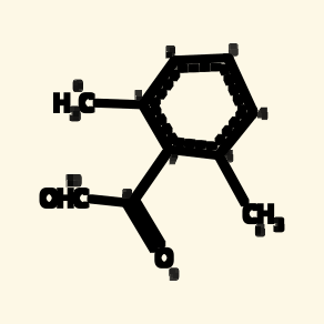 Cc1cccc(C)c1C(=O)C=O